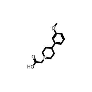 COc1cccc(C2CCN(CC(=O)O)CC2)c1